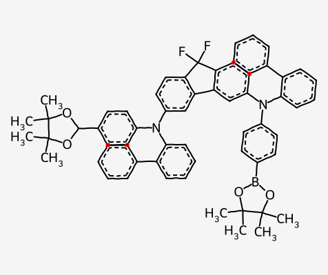 CC1(C)OB(c2ccc(N(c3ccc4c(c3)-c3cc(N(c5ccc(C6OC(C)(C)C(C)(C)O6)cc5)c5ccccc5-c5ccccc5)ccc3C4(F)F)c3ccccc3-c3ccccc3)cc2)OC1(C)C